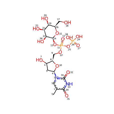 Cc1cn([C@H]2CC(O)[C@@H](COP(=O)(O[C@@H]3O[C@H](CO)[C@H](O)[C@H](O)[C@@H]3O)OP(=O)(O)O)O2)c(=O)[nH]c1=O